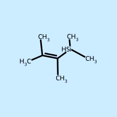 CC(C)=C(C)[SiH](C)C